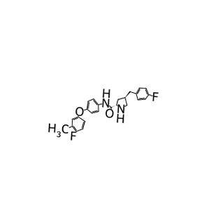 Cc1cc(Oc2ccc(NC(=O)[C@@H]3C[C@@H](Cc4ccc(F)cc4)CN3)cc2)ccc1F